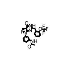 CC(=O)Nc1cccc(-n2ncc3c(=O)[nH]c(Cc4ccccc4OC(F)(F)F)nc32)c1